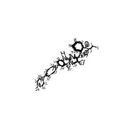 CCCS(=O)(=O)c1ccccc1Nc1nc(Nc2ccc(N3CCC(N4CCN(C)CC4)CC3)cc2OC)ncc1Cl